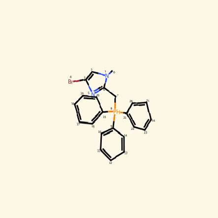 Cn1cc(Br)nc1C[PH](c1ccccc1)(c1ccccc1)c1ccccc1